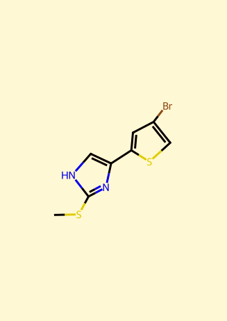 CSc1nc(-c2cc(Br)cs2)c[nH]1